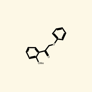 COc1ccccc1C(=O)COc1[c]cccc1